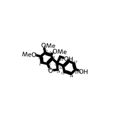 COc1cc2c(c(OC)c1OC)C(CO)(c1ccc(O)cc1)CO2